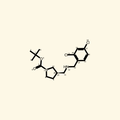 CC(C)(C)OC(=O)N1CC[C@H](CNCc2ccc(Cl)cc2Cl)C1